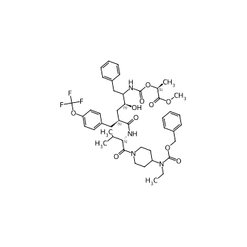 CCN(C(=O)OCc1ccccc1)C1CCN(C(=O)[C@@H](NC(=O)[C@@H](Cc2ccc(OC(F)(F)F)cc2)C[C@H](O)C(Cc2ccccc2)NC(=O)O[C@@H](C)C(=O)OC)C(C)C)CC1